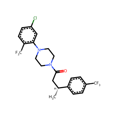 C[C@H](CC(=O)N1CCN(c2cc(Cl)ccc2C(F)(F)F)CC1)c1ccc(C(F)(F)F)cc1